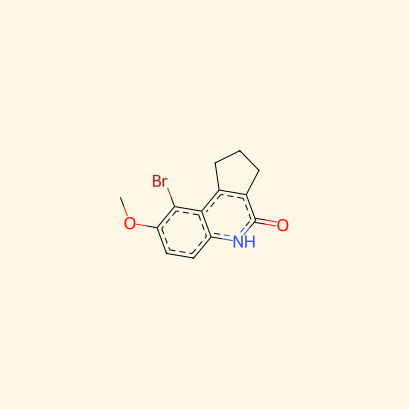 COc1ccc2[nH]c(=O)c3c(c2c1Br)CCC3